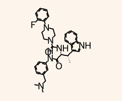 C[C@@H](c1c[nH]c2ccccc12)[C@@H](NC(=O)N1CCN(c2ccccc2F)CC1)C(=O)Nc1cccc(CN(C)C)c1